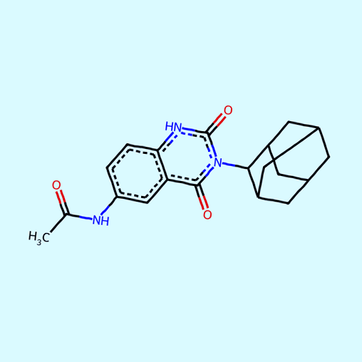 CC(=O)Nc1ccc2[nH]c(=O)n(C3C4CC5CC(C4)CC3C5)c(=O)c2c1